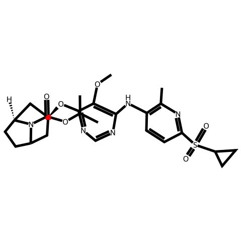 COc1c(Nc2ccc(S(=O)(=O)C3CC3)nc2C)ncnc1O[C@H]1CC2CC[C@@H](C1)N2C(=O)OC(C)C